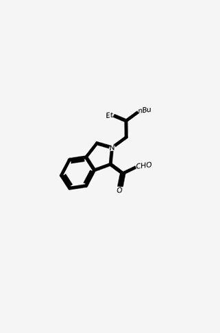 CCCCC(CC)CN1Cc2ccccc2C1C(=O)C=O